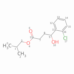 CC(C)COC(=O)CCC(O)c1ccccc1Cl